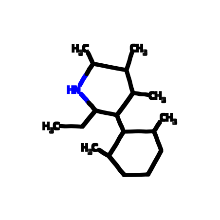 CCC1NC(C)C(C)C(C)C1C1C(C)CCCC1C